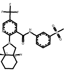 CS(=O)(=O)c1cccc(NC(=O)c2cc(C(F)(F)F)cnc2N2C[C@H]3CCCC[C@H]3C2)c1